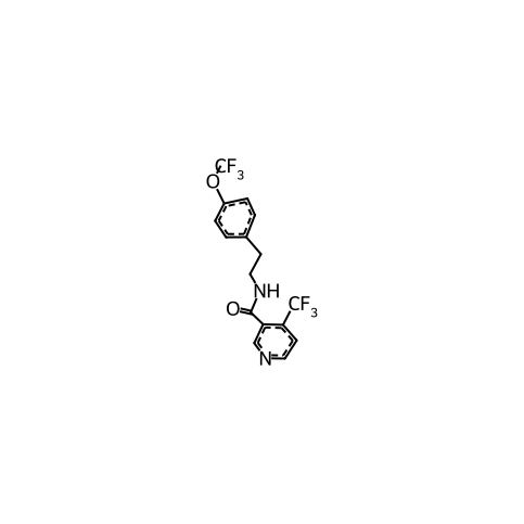 O=C(NCCc1ccc(OC(F)(F)F)cc1)c1cnccc1C(F)(F)F